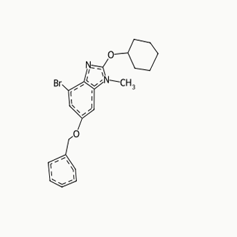 Cn1c(OC2CCCCC2)nc2c(Br)cc(OCc3ccccc3)cc21